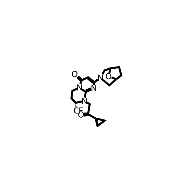 O=C(CN1c2nc(N3CC4CCC(C3)O4)cc(=O)n2CC[C@H]1C(F)(F)F)C1CC1